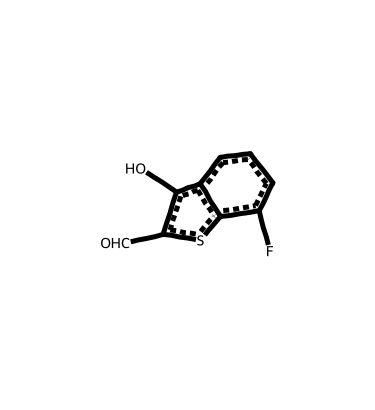 O=Cc1sc2c(F)cccc2c1O